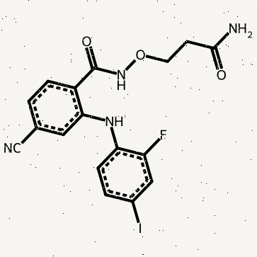 N#Cc1ccc(C(=O)NOCCC(N)=O)c(Nc2ccc(I)cc2F)c1